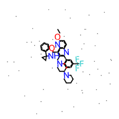 CCOc1ccc2nc(-c3cccc(C(F)(F)F)c3)c(CN3CCC(N4CCCCC4)CC3)c(C(=O)NC3(c4ccccc4)CC3)c2n1